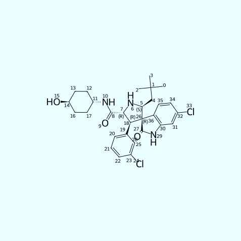 CC(C)(C)C[C@@H]1N[C@@H](C(=O)N[C@H]2CC[C@H](O)CC2)[C@H](c2cccc(Cl)c2)[C@]12C(=O)Nc1cc(Cl)ccc12